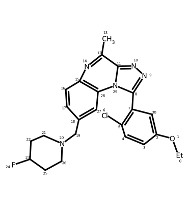 CCOc1ccc(Cl)c(-c2nnc3c(C)nc4ccc(CN5CCC(F)CC5)cc4n23)c1